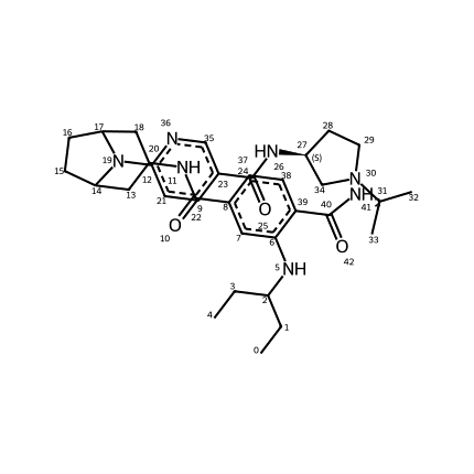 CCC(CC)Nc1cc(C(=O)NC2CC3CCC(C2)N3c2ccc(C(=O)N[C@H]3CCN(C(C)C)C3)cn2)ccc1C(N)=O